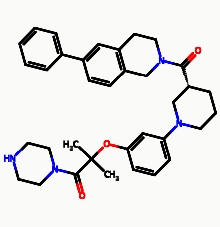 CC(C)(Oc1cccc(N2CCC[C@@H](C(=O)N3CCc4cc(-c5ccccc5)ccc4C3)C2)c1)C(=O)N1CCNCC1